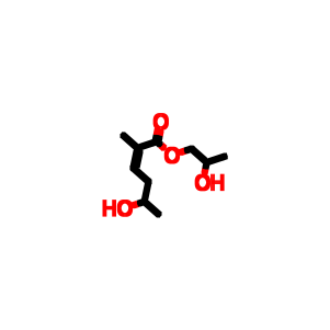 CC(=CCC(C)O)C(=O)OCC(C)O